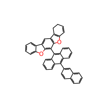 C1=Cc2oc3c(-c4c5ccccc5c(-c5ccc6ccccc6c5)c5ccccc45)c4oc5ccccc5c4cc3c2CC1